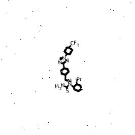 CC(C)c1ccccc1N(/N=C/c1ccc(-c2ncn(-c3ccc(C(F)(F)F)cc3)n2)cc1)C(N)=S